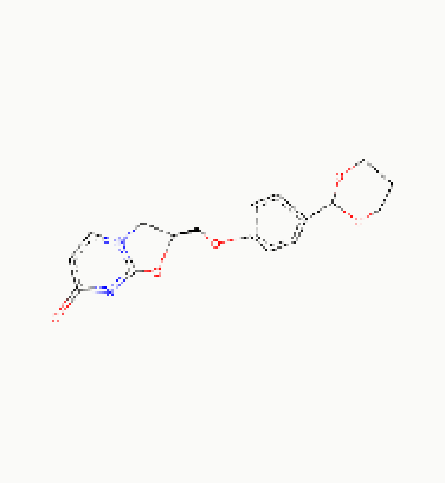 O=c1ccn2c(n1)O[C@H](COc1ccc(C3OCCCO3)cc1)C2